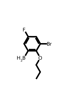 Bc1cc(F)cc(Br)c1OCCC